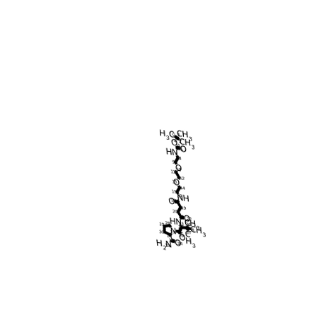 CC(C)(C)OC(=O)NCCOCCOCCNC(=O)CCC(=O)N[C@H](C(=O)N1CCC[C@H]1C(N)=O)C(C)(C)C